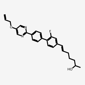 C=CCOc1cnc(-c2ccc(-c3ccc(C=CCCCC(C)O)cc3F)cc2)nc1